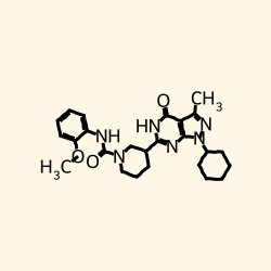 COc1ccccc1NC(=O)N1CCCC(c2nc3c(c(C)nn3C3CCCCC3)c(=O)[nH]2)C1